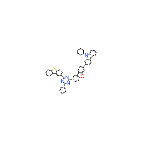 c1ccc(-c2nc(-c3ccc4oc5cc(-c6ccc7c8ccccc8n(-c8ccccc8)c7c6)ccc5c4c3)nc(-c3ccc4sc5ccccc5c4c3)n2)cc1